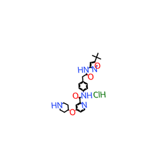 CC(C)(C)c1cc(NC(=O)Cc2ccc(NC(=O)c3cc(OC4CCNCC4)ccn3)cc2)no1.Cl